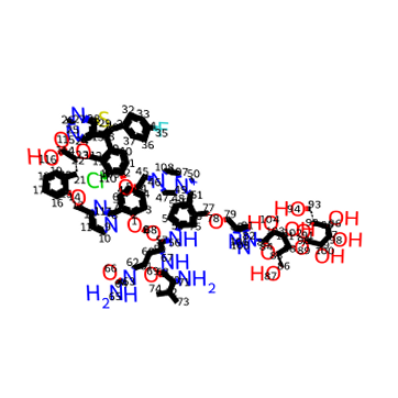 COc1ccccc1-c1nccc(COc2ccccc2C[C@@H](Oc2ncnc3sc(-c4ccc(F)cc4)c(-c4ccc(OCCN5CC[N+](C)(Cc6ccc(NC(=O)C(CCCNC(N)=O)NC(=O)C(N)C(C)C)cc6COCc6cn([C@@H]7O[C@H](CO)[C@@H](O[C@@H]8O[C@H](CO)[C@H](O)[C@H](O)[C@H]8O)[C@H](O)[C@H]7O)nn6)CC5)c(Cl)c4C)c23)C(=O)O)n1